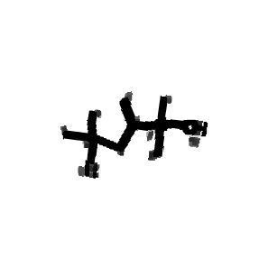 CCC(C)(C)CC(C)[Si](C)(C)O